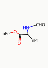 CCCOC(=O)C(CCC)NC=O